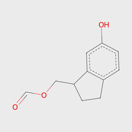 O=COCC1CCc2ccc(O)cc21